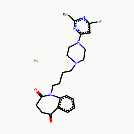 CCCc1cc(N2CCN(CCCCN3C(=O)CCC(=O)c4ccccc43)CC2)nc(C(C)(C)C)n1.Cl